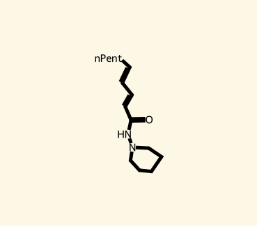 CCCCCC=CC=CC(=O)NN1CCCCC1